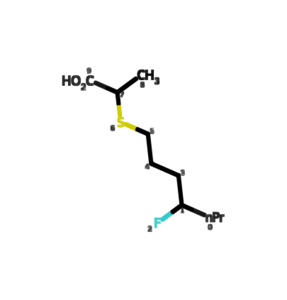 CCCC(F)CCCSC(C)C(=O)O